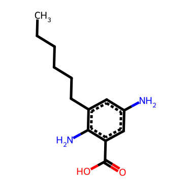 CCCCCCc1cc(N)cc(C(=O)O)c1N